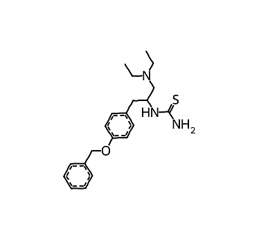 CCN(CC)CC(Cc1ccc(OCc2ccccc2)cc1)NC(N)=S